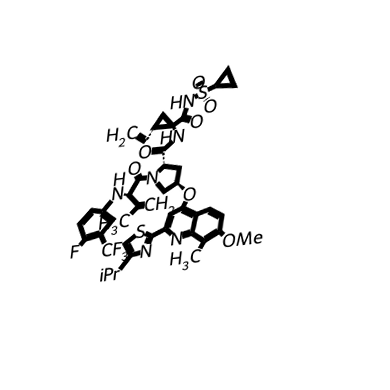 C=C[C@@H]1C[C@]1(NC(=O)[C@@H]1C[C@@H](Oc2cc(-c3nc(C(C)C)cs3)nc3c(C)c(OC)ccc23)CN1C(=O)[C@@H](Nc1ccc(F)c(C(F)(F)F)c1)C(=C)C)C(=O)NS(=O)(=O)C1CC1